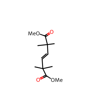 COC(=O)C(C)(C)C=CC(C)(C)C(=O)OC